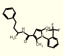 Cc1cc(C(=O)NC(C)CCc2ccccc2)c(C)n1-c1ccccc1C(F)(F)F